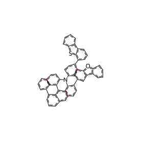 c1ccc(-c2cccc3cccc(-c4ccccc4N(c4ccc(-c5cccc6c5sc5ccccc56)cc4)c4ccccc4-c4ccc5oc6ccccc6c5c4)c23)cc1